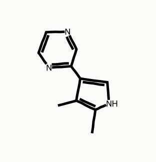 Cc1[nH]cc(-c2cnccn2)c1C